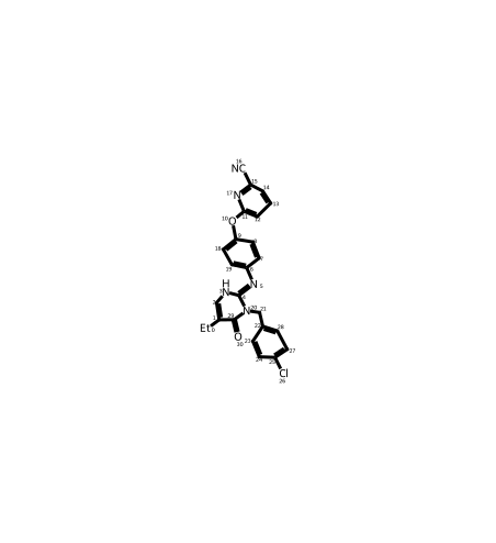 CCc1c[nH]/c(=N\c2ccc(Oc3cccc(C#N)n3)cc2)n(Cc2ccc(Cl)cc2)c1=O